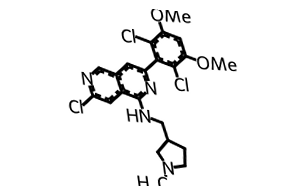 COc1cc(OC)c(Cl)c(-c2cc3cnc(Cl)cc3c(NCC3CCN(C)C3)n2)c1Cl